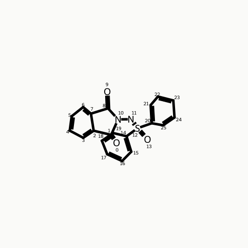 O=C1c2ccccc2C(=O)N1N=S(=O)(c1ccccc1)c1ccccc1